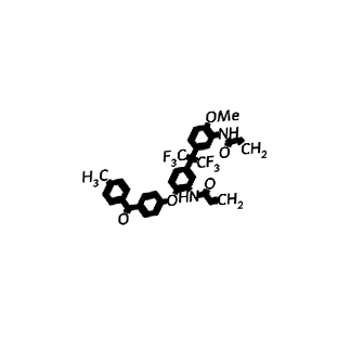 C=CC(=O)Nc1cc(C(c2ccc(Oc3ccc(C(=O)c4ccc(C)cc4)cc3)c(NC(=O)C=C)c2)(C(F)(F)F)C(F)(F)F)ccc1OC